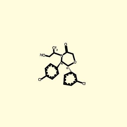 O=C1CO[C@H](c2cccc(Cl)c2)[C@@H](c2ccc(Cl)cc2)N1C(CO)C(F)(F)F